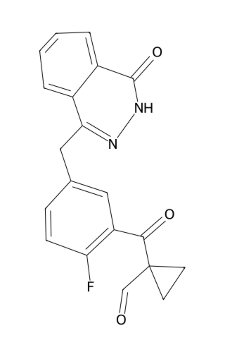 O=CC1(C(=O)c2cc(Cc3n[nH]c(=O)c4ccccc34)ccc2F)CC1